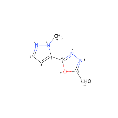 Cn1nccc1-c1nnc(C=O)o1